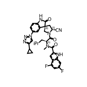 CC(C)C[C@@H](C(=O)N1C[C@]2(C[C@H]1C#N)C(=O)Nc1ccc(-n3cc(C4CC4)nn3)cc12)N(C)C(=O)c1cc2c(F)cc(F)cc2[nH]1